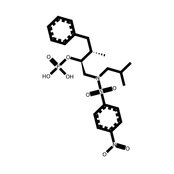 CC(C)CN(C[C@@H](OP(=O)(O)O)[C@@H](C)Cc1ccccc1)S(=O)(=O)c1ccc([N+](=O)[O-])cc1